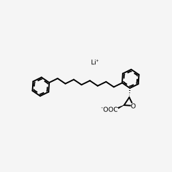 O=C([O-])[C@@H]1O[C@H]1c1ccccc1CCCCCCCCc1ccccc1.[Li+]